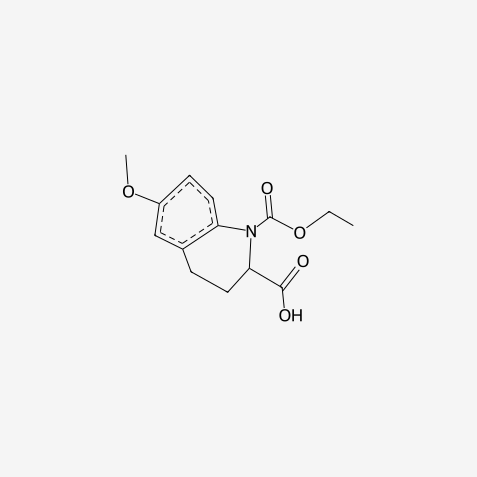 CCOC(=O)N1c2ccc(OC)cc2CCC1C(=O)O